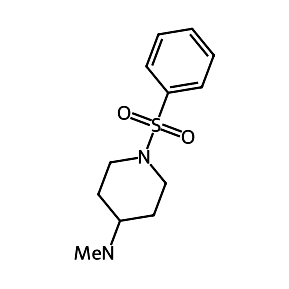 CNC1CCN(S(=O)(=O)c2ccccc2)CC1